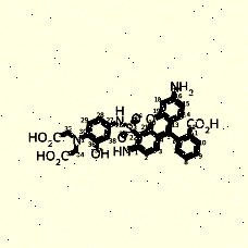 N=c1ccc2c(-c3ccccc3C(=O)O)c3ccc(N)cc3oc-2c1S(=O)(=O)Nc1ccc(N(CC(=O)O)CC(=O)O)c(O)c1